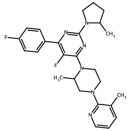 Cc1cccnc1N1CCN(c2nc(N3CCCC3C)nc(-c3ccc(F)cc3)c2F)C(C)C1